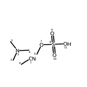 CC#N.CN(C)C.COS(=O)(=O)O